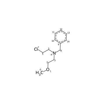 COCCN(CCCl)Cc1ccccc1